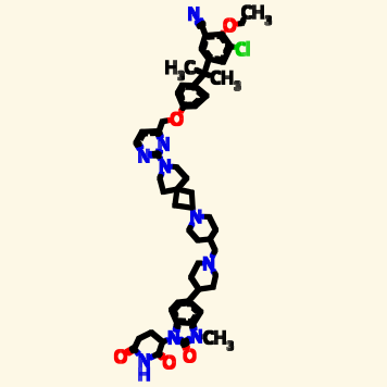 CCOc1c(Cl)cc(C(C)(C)c2ccc(OCc3ccnc(N4CCC5(CC4)CC(N4CCC(CN6CCC(c7ccc8c(c7)n(C)c(=O)n8C7CCC(=O)NC7=O)CC6)CC4)C5)n3)cc2)cc1C#N